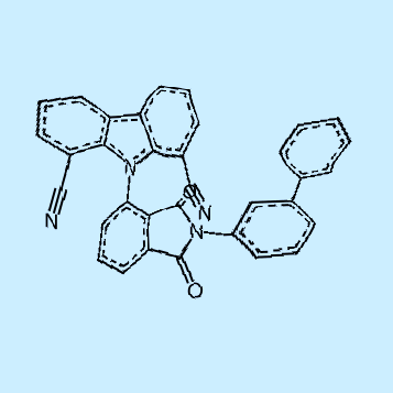 N#Cc1cccc2c3cccc(C#N)c3n(-c3cccc4c3C(=O)N(c3cccc(-c5ccccc5)c3)C4=O)c12